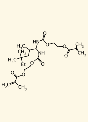 C=C(C)C(=O)OCCOC(=O)NC(NC(=O)OCCOC(=O)C(=C)C)C(C)CC(C)(C)CC